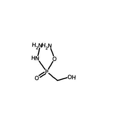 NNP(=O)(CO)ON